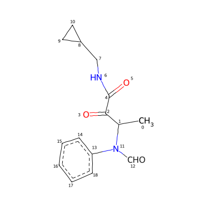 CC(C(=O)C(=O)NCC1CC1)N(C=O)c1ccccc1